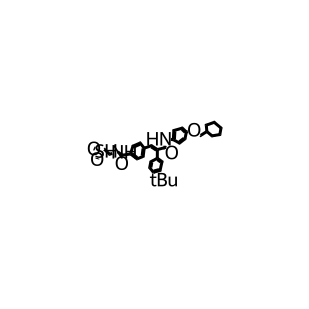 CC(C)(C)c1ccc(/C(=C\c2ccc(C(=O)NCC[SH](=O)=O)cc2)C(=O)Nc2ccc(OCC3CCCCC3)cc2)cc1